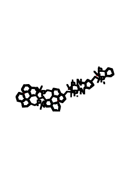 CP(c1ccccc1P(C)C(C)(C)Cc1ccc2nc(P(C)C(C)(C)Cc3cccc4c5c(ccc34)CP(C(C)(C)C)C(C3c4ccc6ccccc6c4-c4c(ccc6ccccc46)CP3C(C)(C)C)c3ccc4ccccc4c3-5)c(P(C)C(C)(C)C)nc2c1)C(C)(C)C